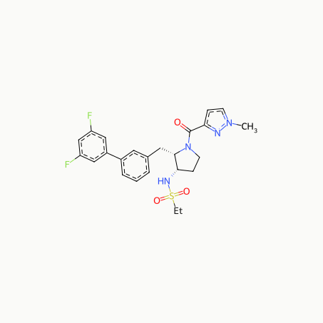 CCS(=O)(=O)N[C@H]1CCN(C(=O)c2ccn(C)n2)[C@H]1Cc1cccc(-c2cc(F)cc(F)c2)c1